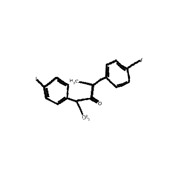 CC(C(=O)C(C)c1ccc(I)cc1)c1ccc(I)cc1